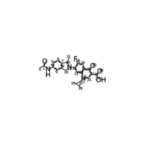 CC(=O)Nc1ccc2c(c1)CN(c1cc3c(cc1F)c(=O)c(C(=O)O)cn3C1CC1)C2C